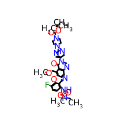 CCN(C)S(=O)(=O)Nc1ccc(F)c(Oc2ccc3ncn(-c4cnc(N5CCN(C(=O)OC(C)(C)C)CC5)nc4)c(=O)c3c2COC)c1C#N